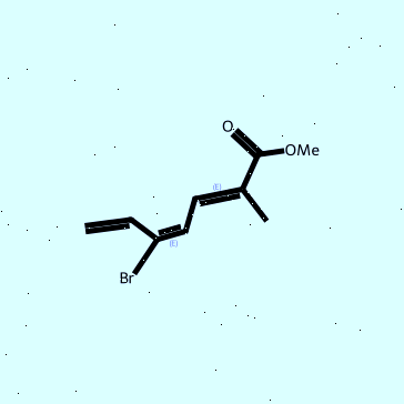 C=C/C(Br)=C\C=C(/C)C(=O)OC